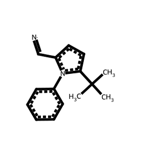 CC(C)(C)c1ccc(C=[N])n1-c1ccccc1